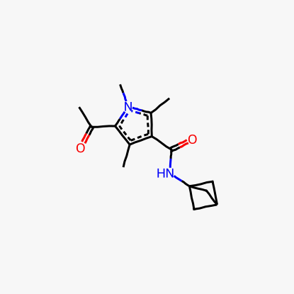 CC(=O)c1c(C)c(C(=O)NC23CC(C2)C3)c(C)n1C